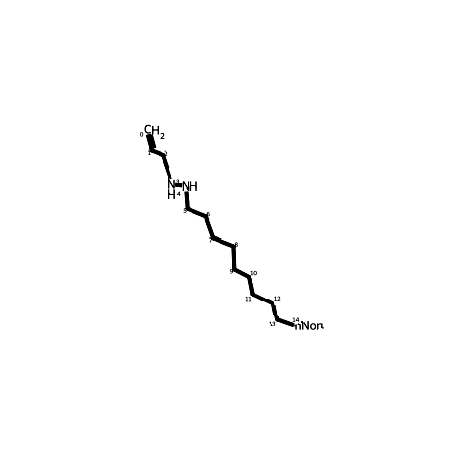 C=CCNNCCCCCCCCCCCCCCCCCC